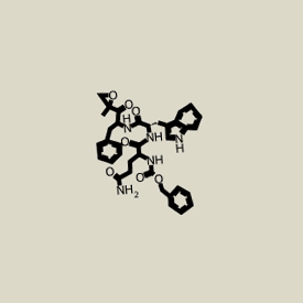 CC1(C(=O)C(Cc2ccccc2)NC(=O)[C@H](Cc2c[nH]c3ccccc23)NC(=O)C(CCC(N)=O)NC(=O)OCc2ccccc2)CO1